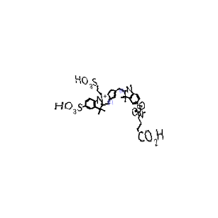 CN1/C(=C/C2=CC(=C/C3=[N+](CCCS(=O)(=O)O)c4ccc(S(=O)(=O)O)cc4C3(C)C)/CC2)C(C)(C)c2cc(S(=O)(=O)N(C)CCCC(=O)O)ccc21